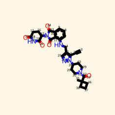 C#Cc1c(CNc2cccc3c2C(=O)N(C2CCC(=O)NC2=O)C3=O)cnn1C1CCN(C(=O)C2(C)CCC2)CC1